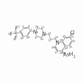 FC(F)(F)c1ccc(N2CCN(CCCN3C=CC([AsH2])c4ccc(Cl)cc43)CC2)cc1